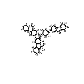 CC1(C)c2ccccc2-c2cc3c4cc5c(cc4n(-c4ccc(-c6ccc7c(c6)sc6ccccc67)cc4)c3cc21)C(C)(C)c1ccccc1-5